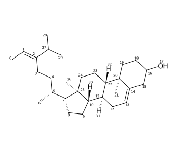 C/C=C(\CC[C@@H](C)[C@H]1CC[C@H]2[C@@H]3CC=C4CC(O)CC[C@]4(C)[C@H]3CC[C@]12C)C(C)C